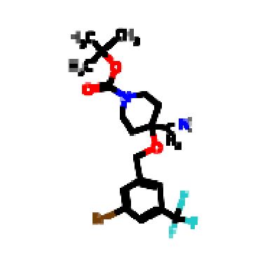 CC(C)(C)OC(=O)N1CCC(C)(OCc2cc(Br)cc(C(F)(F)F)c2)CC1.[N]